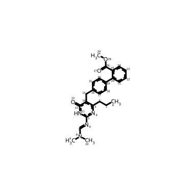 CCCc1nc(N=CN(C)C)[nH]c(=O)c1Cc1ccc(-c2ccccc2C(=O)OC)cc1